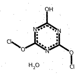 O.Oc1nc(OCl)nc(OCl)n1